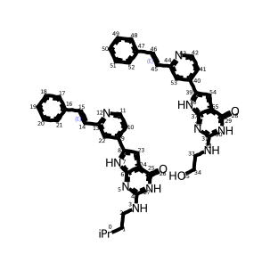 CC(C)CCNc1nc2[nH]c(-c3ccnc(/C=C/c4ccccc4)c3)cc2c(=O)[nH]1.O=c1[nH]c(NCCO)nc2[nH]c(-c3ccnc(/C=C/c4ccccc4)c3)cc12